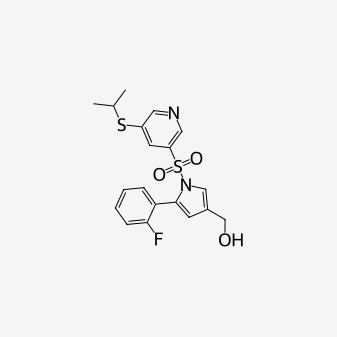 CC(C)Sc1cncc(S(=O)(=O)n2cc(CO)cc2-c2ccccc2F)c1